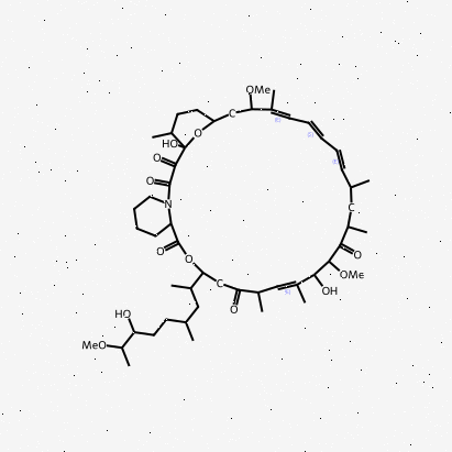 COC1CC2CCC(C)C(O)(O2)C(=O)C(=O)N2CCCCC2C(=O)OC(C(C)CC(C)CCC(O)C(C)OC)CC(=O)C(C)/C=C(\C)C(O)C(OC)C(=O)C(C)CC(C)/C=C/C=C/C=C/1C